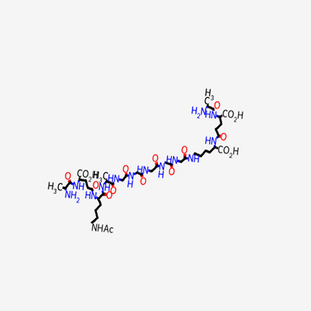 CC(=O)NCCCCC(NC(=O)CCC(NC(=O)C(C)N)C(=O)O)C(=O)NC(C)C(=O)NCC(=O)NCC(=O)NCC(=O)NCC(=O)NCC(=O)NCCCCC(NC(=O)CCC(NC(=O)C(C)N)C(=O)O)C(=O)O